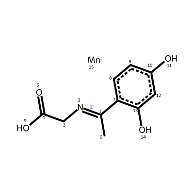 C/C(=N\CC(=O)O)c1ccc(O)cc1O.[Mn]